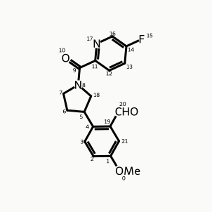 COc1ccc(C2CCN(C(=O)c3ccc(F)cn3)C2)c(C=O)c1